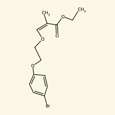 CCOC(=O)C(C)=COCCOc1ccc(Br)cc1